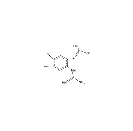 Cc1ccc(NC(=N)N)cc1C.O=[N+]([O-])O